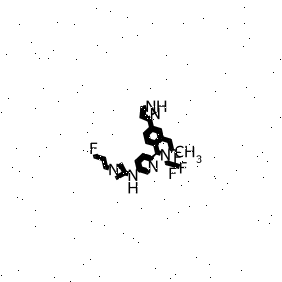 C[C@H]1Cc2cc(-c3cc[nH]n3)ccc2[C@H](c2ccc(NC3CN(CCCF)C3)cn2)N1CC(F)(F)F